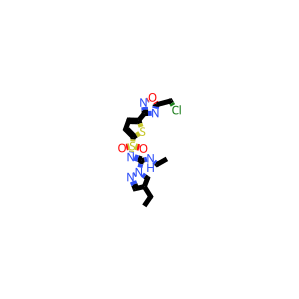 CCN/C(=N\S(=O)(=O)c1ccc(-c2noc(CCl)n2)s1)N1CC(CC)C=N1